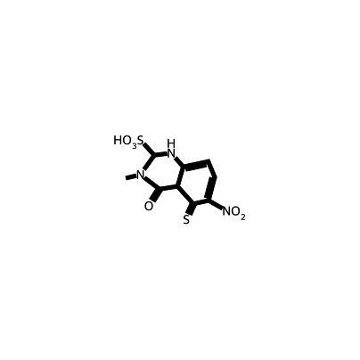 CN1C(=O)C2C(=S)C([N+](=O)[O-])=CC=C2NC1S(=O)(=O)O